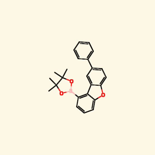 CC1(C)OB(c2cccc3oc4ccc(-c5ccccc5)cc4c23)OC1(C)C